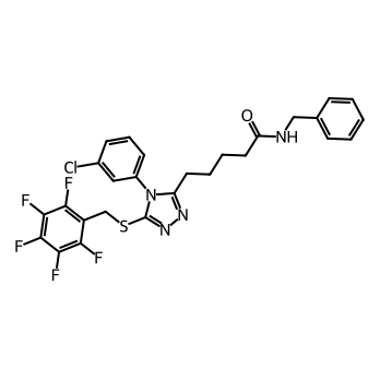 O=C(CCCCc1nnc(SCc2c(F)c(F)c(F)c(F)c2F)n1-c1cccc(Cl)c1)NCc1ccccc1